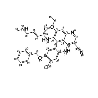 CCOc1cc2ncc(C#N)c(Nc3ccc(OCc4ccccc4)c(Cl)c3)c2cc1NC(=O)C=CCNC